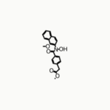 COC(=O)Cc1ccc(C(=O)N(O)c2ccc3ccccc3c2OC)cc1